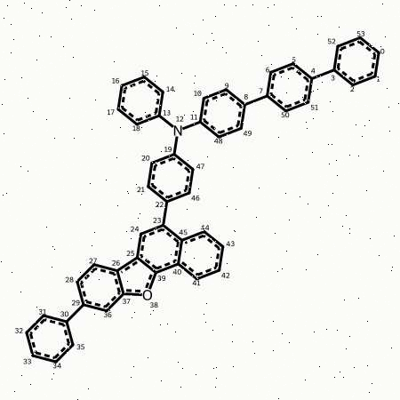 c1ccc(-c2ccc(-c3ccc(N(c4ccccc4)c4ccc(-c5cc6c7ccc(-c8ccccc8)cc7oc6c6ccccc56)cc4)cc3)cc2)cc1